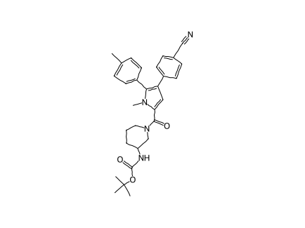 Cc1ccc(-c2c(-c3ccc(C#N)cc3)cc(C(=O)N3CCCC(NC(=O)OC(C)(C)C)C3)n2C)cc1